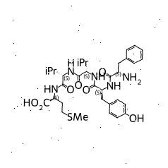 CSCC[C@H](NC(=O)[C@@H](NC(=O)[C@@H](NC(=O)[C@H](Cc1ccc(O)cc1)NC(=O)[C@@H](N)Cc1ccccc1)C(C)C)C(C)C)C(=O)O